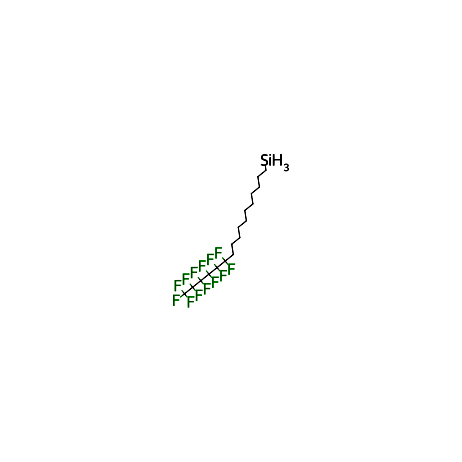 FC(F)(F)C(F)(F)C(F)(F)C(F)(F)C(F)(F)C(F)(F)CCCCCCCCCCC[SiH3]